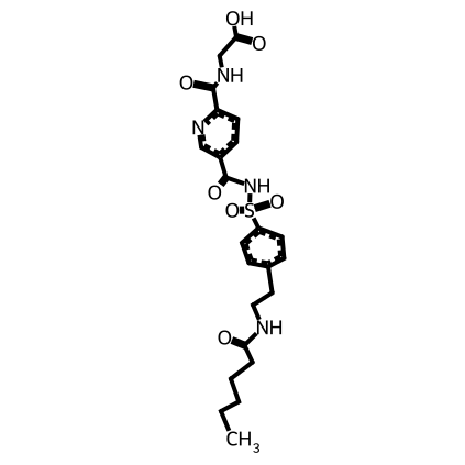 CCCCCC(=O)NCCc1ccc(S(=O)(=O)NC(=O)c2ccc(C(=O)NCC(=O)O)nc2)cc1